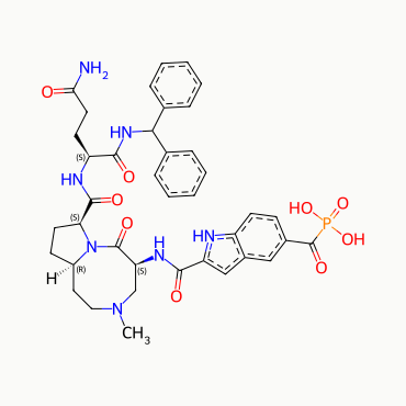 CN1CC[C@H]2CC[C@@H](C(=O)N[C@@H](CCC(N)=O)C(=O)NC(c3ccccc3)c3ccccc3)N2C(=O)[C@@H](NC(=O)c2cc3cc(C(=O)P(=O)(O)O)ccc3[nH]2)C1